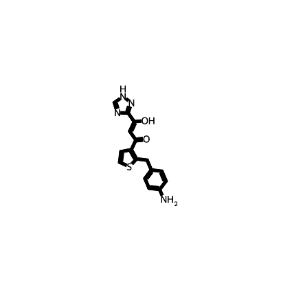 Nc1ccc(Cc2sccc2C(=O)C=C(O)c2nc[nH]n2)cc1